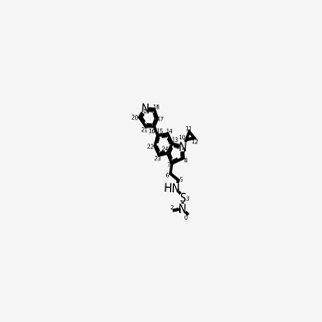 CN(C)SNCCc1cn(C2CC2)c2cc(-c3ccncc3)ccc12